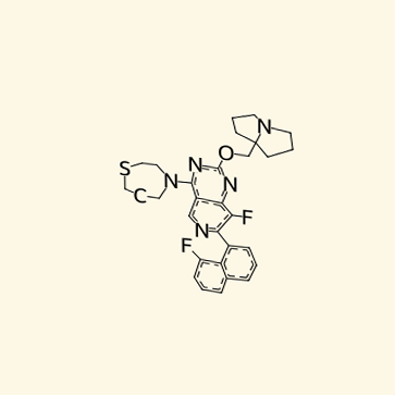 Fc1c(-c2cccc3cccc(F)c23)ncc2c(N3CCCSCC3)nc(OCC34CCCN3CCC4)nc12